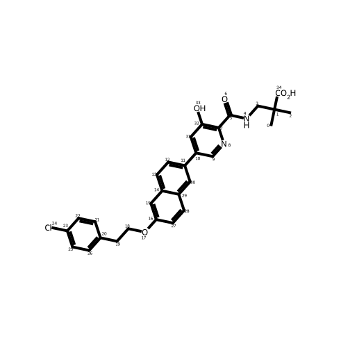 CC(C)(CNC(=O)c1ncc(-c2ccc3cc(OCCc4ccc(Cl)cc4)ccc3c2)cc1O)C(=O)O